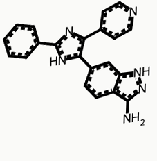 Nc1n[nH]c2cc(-c3[nH]c(-c4ccccc4)nc3-c3ccncc3)ccc12